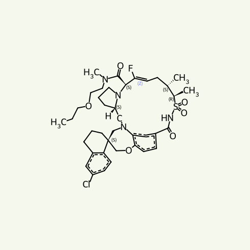 CCCOCCN(C)C(=O)[C@H]1/C(F)=C/C[C@H](C)[C@@H](C)S(=O)(=O)NC(=O)c2ccc3c(c2)N(C[C@@H]2CCCN21)C[C@@]1(CCCc2cc(Cl)ccc21)CO3